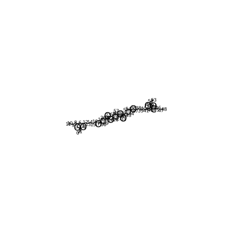 C=CC(=O)OC(CCCCCC)CCCCCOc1ccc(C(=O)Oc2ccc(OC(=O)c3ccc(OCCCCCC(CCCCCC)OC(=O)C=C)cc3)c(C)c2)cc1